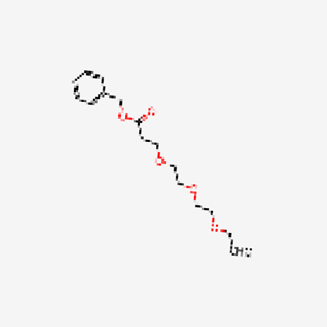 O=CCOCCOCCOCCC(=O)OCc1ccccc1